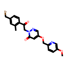 COc1ccc(COc2cnn(CC(=O)c3ccc(CBr)cc3C)c(=O)c2)nc1